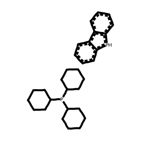 C1CCC(P(C2CCCCC2)C2CCCCC2)CC1.c1ccc2c(c1)[pH]c1ccccc12